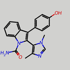 Cc1ncn(C)c1-c1c(-c2ccc(O)cc2)c2ccccc2n1C(N)=O